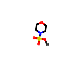 CCOS(=O)(=O)N1CCOCC1